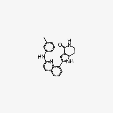 Cc1cccc(Nc2ccc3cccc(-c4cc5c([nH]4)CCNC5=O)c3n2)c1